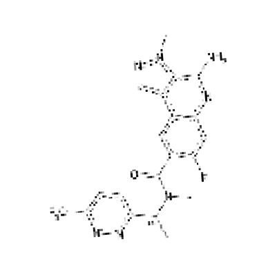 C[C@H](c1ccc(C(F)(F)F)nn1)N(C)C(=O)c1cc2c(cc1F)nc(N)c1c2cnn1C